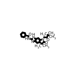 CC(C)(C)C(=O)CN1C(=O)C(C)(C)c2cc3nc(NC(=O)c4ccccc4)[nH]c3cc21